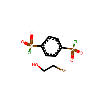 O=S(=O)(Cl)c1ccc(S(=O)(=O)Cl)cc1.OCCS